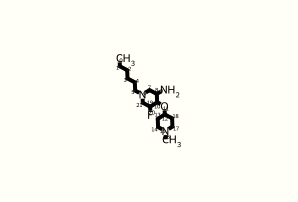 CCCCCCN1CC(N)C(OC2CCN(C)CC2)C(F)C1